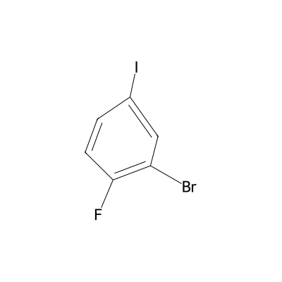 Fc1ccc(I)cc1Br